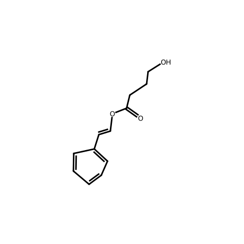 O=C(CCCO)OC=Cc1ccccc1